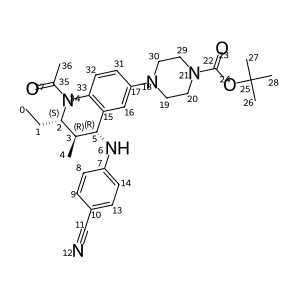 CC[C@H]1[C@H](C)[C@@H](Nc2ccc(C#N)cc2)c2cc(N3CCN(C(=O)OC(C)(C)C)CC3)ccc2N1C(C)=O